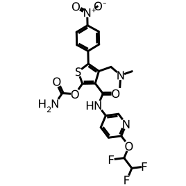 CN(C)Cc1c(-c2ccc([N+](=O)[O-])cc2)sc(OC(N)=O)c1C(=O)Nc1ccc(OC(F)C(F)F)nc1